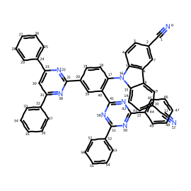 N#Cc1ccc2c(c1)c1cc(C#N)ccc1n2-c1ccc(-c2nc(-c3ccccc3)cc(-c3ccccc3)n2)cc1-c1nc(-c2ccccc2)nc(-c2ccccc2)n1